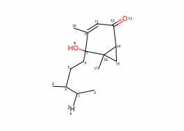 [2H]C(C)C(C)CCC1(O)C(C)=CC(=O)C2CC21C